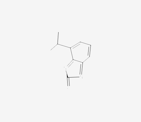 CC(C)c1cccc2c1=NC(=O)N=2